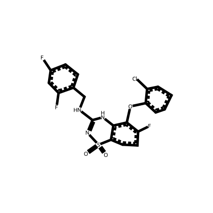 O=S1(=O)N=C(NCc2ccc(F)cc2F)Nc2c1ccc(F)c2Oc1ccccc1Cl